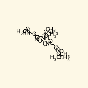 [CH2]C(=O)NCCOc1cncc([C@H](CC(=O)OC(C)(C)C)NC(=O)[C@@H]2CCCN(C(=O)CCC3CCN(C(=O)OC(C)(C)C)CC3)C2)c1